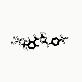 CC(C)(C)C(C)(O[Si](C)(C)C)c1ccc(F)c(C(=O)n2nc(Nc3ccc(S(N)(=O)=O)cc3)nc2N)c1F